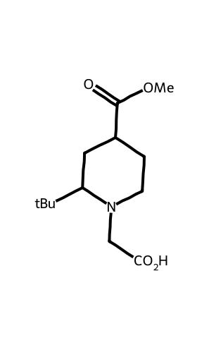 COC(=O)C1CCN(CC(=O)O)C(C(C)(C)C)C1